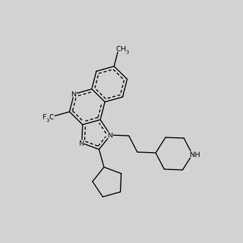 Cc1ccc2c(c1)nc(C(F)(F)F)c1nc(C3CCCC3)n(CCC3CCNCC3)c12